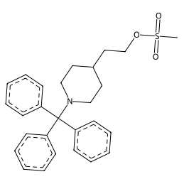 CS(=O)(=O)OCCC1CCN(C(c2ccccc2)(c2ccccc2)c2ccccc2)CC1